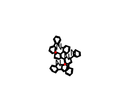 c1ccc(-c2cc(-c3ccccn3)nc(-c3c(-c4ccccc4-n4c5ccccc5c5ccccc54)cccc3-n3c4ccccc4c4ccccc43)c2)cc1